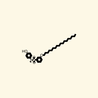 CCCCCCCCCCCCCCCCCCOc1cccc(S(=O)(=O)N(C)c2ccc(O)cc2)c1